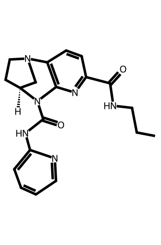 CCCNC(=O)c1ccc2c(n1)N(C(=O)Nc1ccccn1)[C@H]1CCN2C1